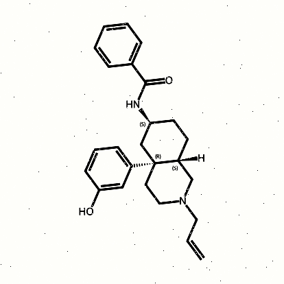 C=CCN1CC[C@@]2(c3cccc(O)c3)C[C@@H](NC(=O)c3ccccc3)CC[C@@H]2C1